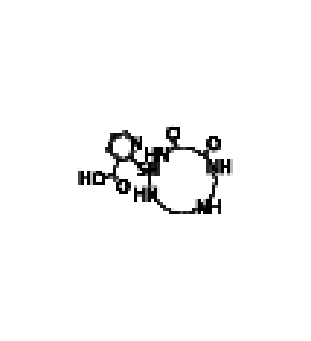 O=C(O)c1cccnc1S.O=C1CC(=O)NCCNCCCNCCN1